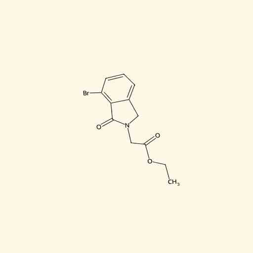 CCOC(=O)CN1Cc2cccc(Br)c2C1=O